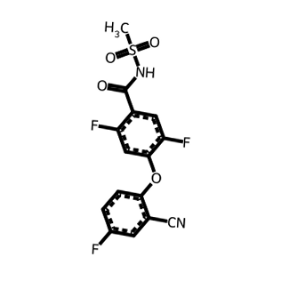 CS(=O)(=O)NC(=O)c1cc(F)c(Oc2ccc(F)cc2C#N)cc1F